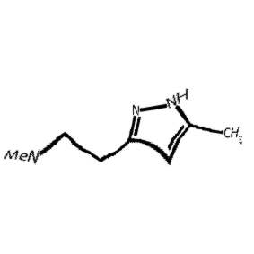 CNCCc1cc(C)[nH]n1